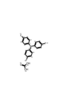 Fc1cc[c]([Bi]([c]2ccc(F)cc2)[c]2ccc(F)cc2)cc1.O=C(O)O